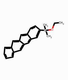 CCO[Si](C)(C)c1ccc2cc3cc4ccccc4cc3cc2c1